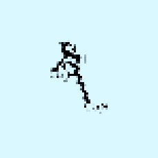 Cc1cnc(NC(=O)CCCCCCCCCC(=O)O)c(SCCCC(=O)O)c1